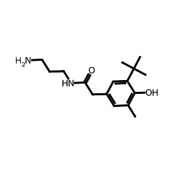 Cc1cc(CC(=O)NCCCN)cc(C(C)(C)C)c1O